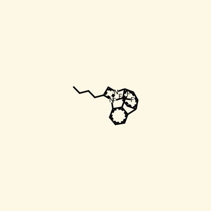 CCCCc1cn2n1-c1cccc(c1C(F)(F)F)-c1ccc-2c(F)c1